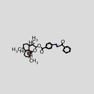 C[C@@H]1CC[C@H]2[C@@H](C)C(OC(=O)c3ccc(/C=C/C(=O)c4ccccc4)cc3)O[C@@H]3O[C@]4(C)CC[C@@H]1[C@]32OO4